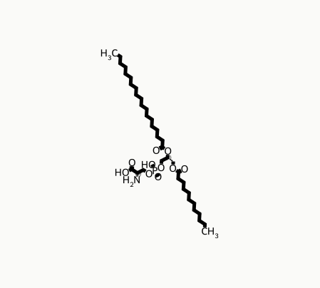 CCCCCCCCCCCCCCCCCCC(=O)O[C@H](COC(=O)CCCCCCCCCCC)COP(=O)(O)OC[C@H](N)C(=O)O